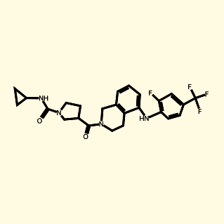 O=C(NC1CC1)N1CCC(C(=O)N2CCc3c(cccc3Nc3ccc(C(F)(F)F)cc3F)C2)C1